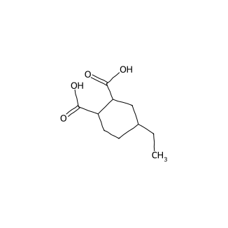 CCC1CCC(C(=O)O)C(C(=O)O)C1